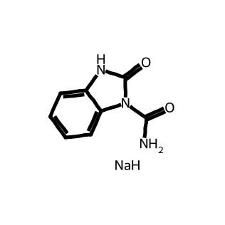 NC(=O)n1c(=O)[nH]c2ccccc21.[NaH]